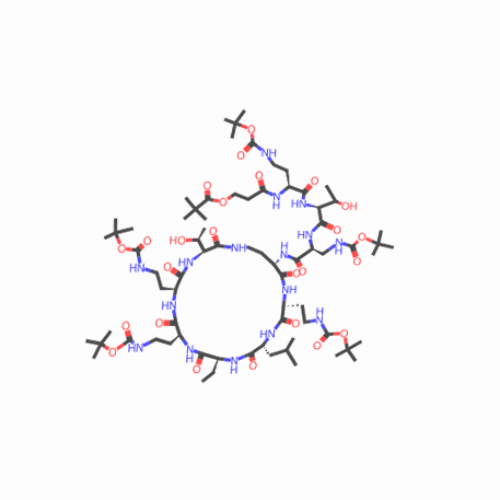 CC[C@@H]1NC(=O)[C@@H](CC(C)C)NC(=O)[C@@H](CCNC(=O)OC(C)(C)C)NC(=O)[C@@H](NC(=O)[C@H](CNC(=O)OC(C)(C)C)NC(=O)[C@@H](NC(=O)[C@H](CCNC(=O)OC(C)(C)C)NC(=O)CCOC(=O)C(C)(C)C)C(C)O)CCNC(=O)[C@H]([C@H](C)O)NC(=O)[C@H](CCNC(=O)OC(C)(C)C)NC(=O)[C@H](CCNC(=O)OC(C)(C)C)NC1=O